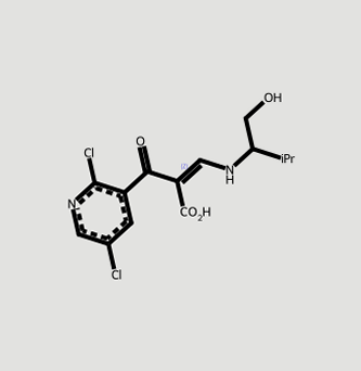 CC(C)C(CO)N/C=C(\C(=O)O)C(=O)c1cc(Cl)cnc1Cl